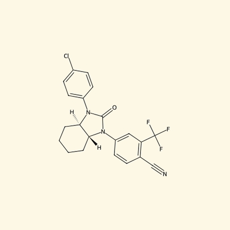 N#Cc1ccc(N2C(=O)N(c3ccc(Cl)cc3)[C@@H]3CCCC[C@H]32)cc1C(F)(F)F